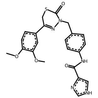 COc1ccc(C2=NN(Cc3ccc(NC(=O)c4c[nH]cn4)cc3)C(=O)SC2)cc1OC